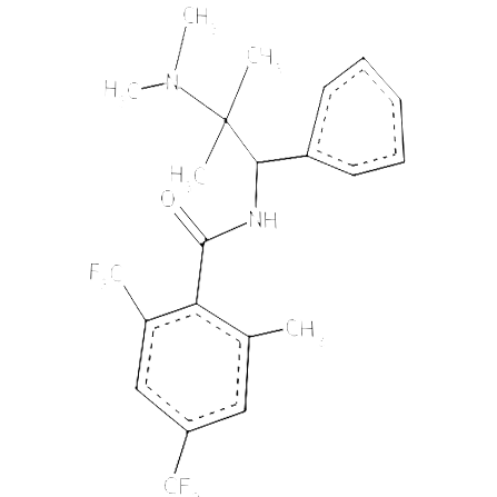 Cc1cc(C(F)(F)F)cc(C(F)(F)F)c1C(=O)NC(c1ccccc1)C(C)(C)N(C)C